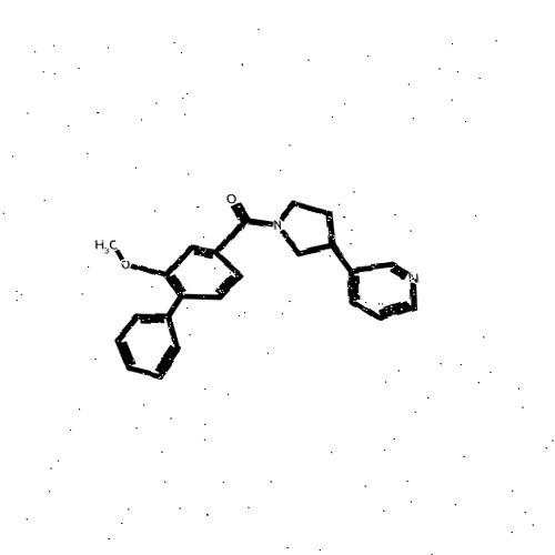 COc1cc(C(=O)N2CCC(c3cccnc3)C2)ccc1-c1ccccc1